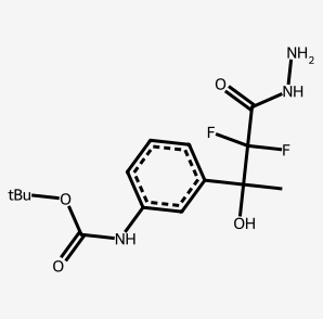 CC(C)(C)OC(=O)Nc1cccc(C(C)(O)C(F)(F)C(=O)NN)c1